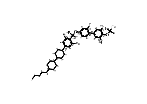 CCCCCC1CCC(C2CCC(c3cc(F)c(C(F)(F)Oc4ccc(-c5cc(F)c(OC(F)(F)F)c(F)c5)c(F)c4)c(F)c3)CC2)CC1